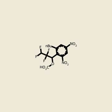 CCCCc1cc([N+](=O)[O-])cc([N+](=O)[O-])c1C(OC(=O)O)C(F)(F)C(F)F